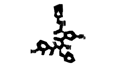 Cc1c(O)cccc1C(=O)N[C@@H](Cc1ccccc1)[C@H](O)C(=O)N1C[C@H](N)C[C@H]1C(=O)NCc1ccccn1